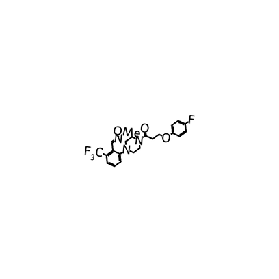 CO/N=C/c1c(N2CCN(C(=O)CCOc3ccc(F)cc3)CC2)cccc1C(F)(F)F